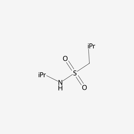 CC(C)CS(=O)(=O)NC(C)C